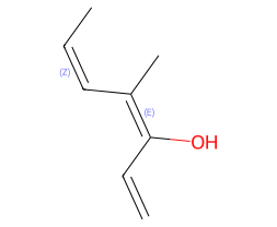 C=C/C(O)=C(C)\C=C/C